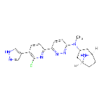 CN(c1ccc(-c2ccc(-c3cn[nH]c3)c(Cl)n2)nn1)[C@@H]1C[C@H]2CC[C@@H](C1)N2